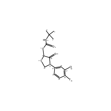 CC(C)(C)NC(=O)OC1SCN(c2ccc(F)c(Cl)c2)C1=O